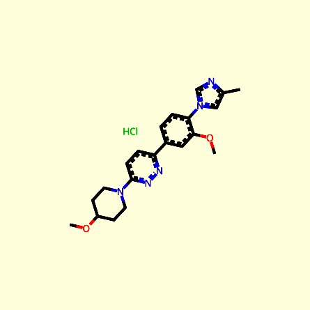 COc1cc(-c2ccc(N3CCC(OC)CC3)nn2)ccc1-n1cnc(C)c1.Cl